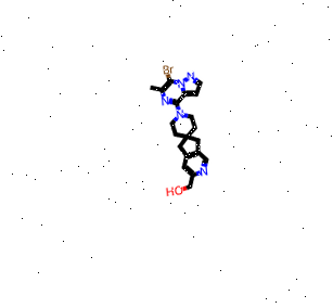 Cc1nc(N2CCC3(CC2)Cc2cnc(CO)cc2C3)c2ccnn2c1Br